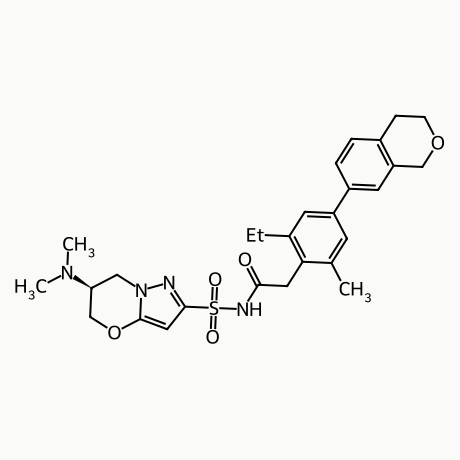 CCc1cc(-c2ccc3c(c2)COCC3)cc(C)c1CC(=O)NS(=O)(=O)c1cc2n(n1)C[C@H](N(C)C)CO2